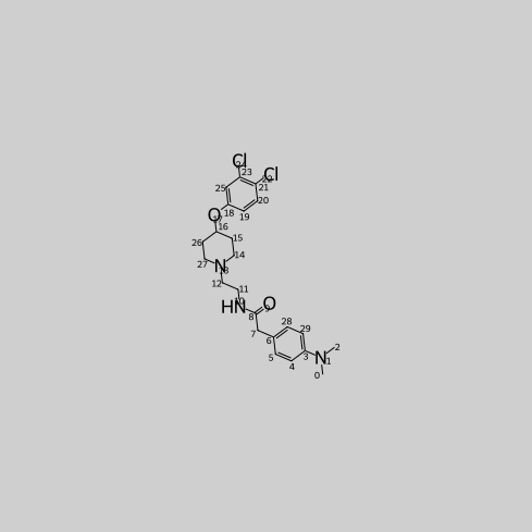 CN(C)c1ccc(CC(=O)NCCN2CCC(Oc3ccc(Cl)c(Cl)c3)CC2)cc1